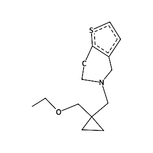 CCOCC1(CN2CCc3sccc3C2)CC1